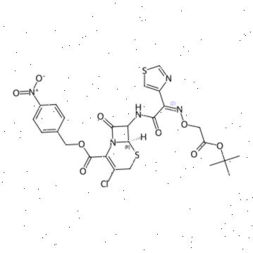 CC(C)(C)OC(=O)CO/N=C(\C(=O)NC1C(=O)N2C(C(=O)OCc3ccc([N+](=O)[O-])cc3)=C(Cl)CS[C@H]12)c1cscn1